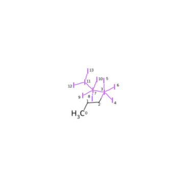 CCCI(I)(I)(I)I(I)(I)(I)I(I)I